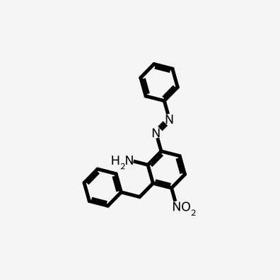 Nc1c(N=Nc2ccccc2)ccc([N+](=O)[O-])c1Cc1ccccc1